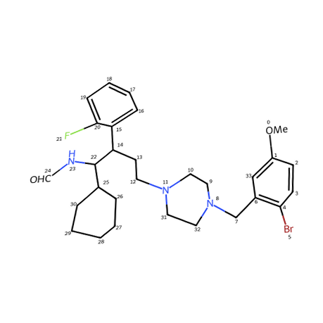 COc1ccc(Br)c(CN2CCN(CCC(c3ccccc3F)C(NC=O)C3CCCCC3)CC2)c1